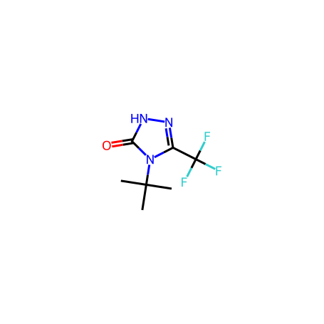 CC(C)(C)n1c(C(F)(F)F)n[nH]c1=O